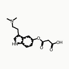 CN(C)CCc1c[nH]c2ccc(OC(=O)CC(=O)O)cc12